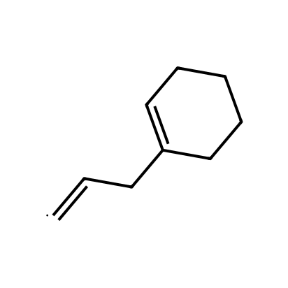 [CH]=CCC1=CCCCC1